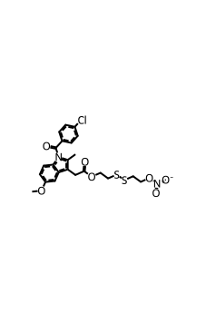 COc1ccc2c(c1)c(CC(=O)OCCSSCCO[N+](=O)[O-])c(C)n2C(=O)c1ccc(Cl)cc1